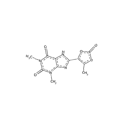 Cc1oc(=O)oc1-c1nc2c([nH]1)c(=O)n(C)c(=O)n2C